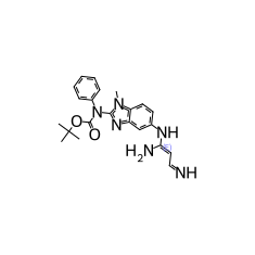 Cn1c(N(C(=O)OC(C)(C)C)c2ccccc2)nc2cc(N/C(N)=C/C=N)ccc21